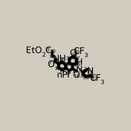 CCCC(c1ccc(C(=O)NCCC(=O)OCC)cc1)C(C(=O)Nc1ccc(C(F)(F)F)nc1)c1ccc(OC(F)(F)F)cc1